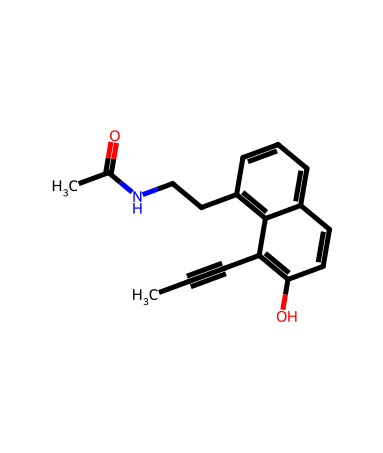 CC#Cc1c(O)ccc2cccc(CCNC(C)=O)c12